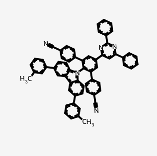 Cc1cccc(-c2ccc3c(c2)c2cc(-c4cccc(C)c4)ccc2n3-c2c(-c3ccc(C#N)cc3)cc(-c3cc(-c4ccccc4)nc(-c4ccccc4)n3)cc2-c2ccc(C#N)cc2)c1